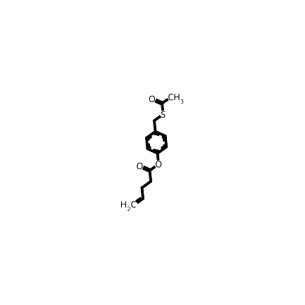 C=CCCC(=O)Oc1ccc(CSC(C)=O)cc1